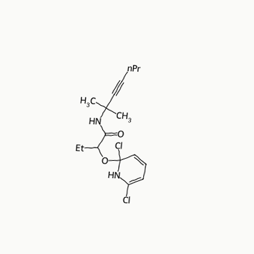 CCCC#CC(C)(C)NC(=O)C(CC)OC1(Cl)C=CC=C(Cl)N1